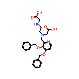 O=C(O)CNCCN(CC(=O)O)Cc1nccc(OCc2ccccc2)c1OCc1ccccc1